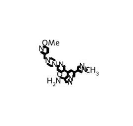 COc1ccc(CN2CCN(c3ccc(-c4cc(-c5cnn(C)c5)cn5ncc(C(N)=O)c45)cn3)CC2)cn1